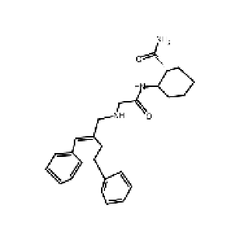 NC(=O)[C@@H]1CCCC[C@H]1NC(=O)CNC/C(=C/c1ccccc1)CCc1ccccc1